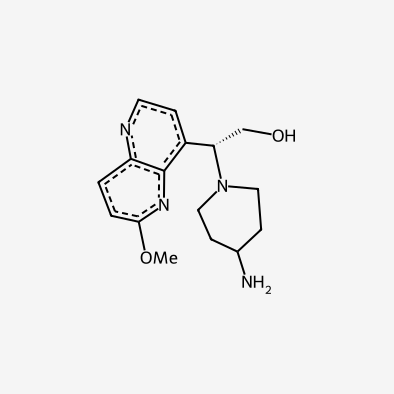 COc1ccc2nccc([C@H](CO)N3CCC(N)CC3)c2n1